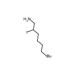 CCC(C)CCCCC(I)CN